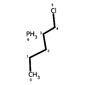 CCCCCCl.P